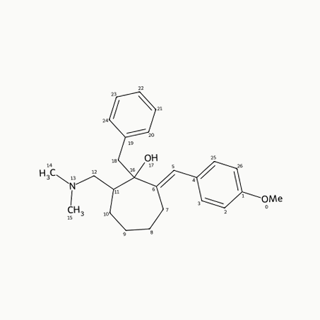 COc1ccc(C=C2CCCCC(CN(C)C)C2(O)Cc2ccccc2)cc1